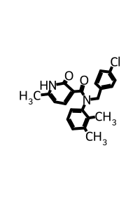 Cc1ccc(C(=O)N(Cc2ccc(Cl)cc2)c2cccc(C)c2C)c(=O)[nH]1